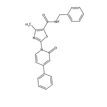 Cc1nc(-n2ccc(-c3ccccc3)cc2=O)sc1C(=O)NCc1ccccc1